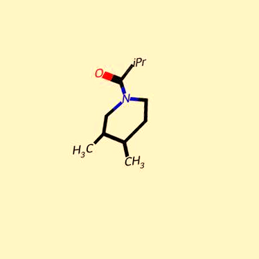 CC(C)C(=O)N1CCC(C)C(C)C1